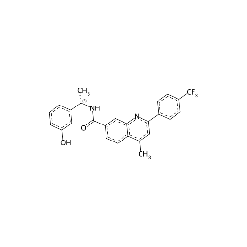 Cc1cc(-c2ccc(C(F)(F)F)cc2)nc2cc(C(=O)N[C@@H](C)c3cccc(O)c3)ccc12